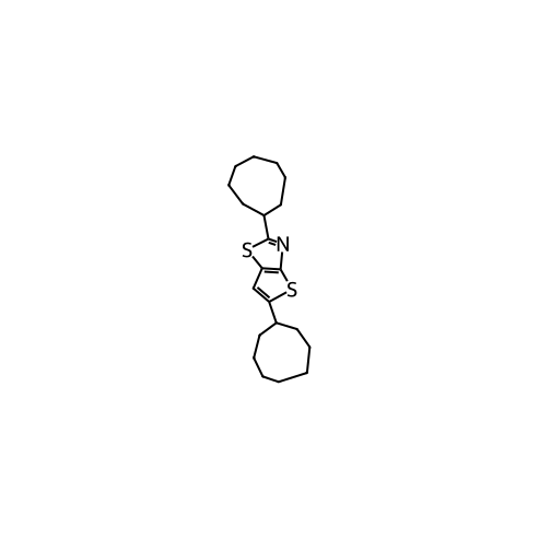 c1c(C2CCCCCCC2)sc2nc(C3CCCCCCC3)sc12